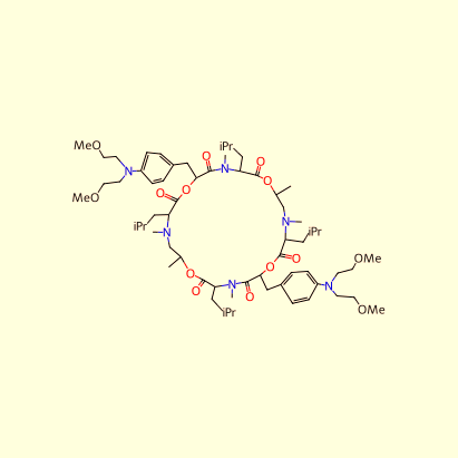 COCCN(CCOC)c1ccc(CC2OC(=O)C(CC(C)C)N(C)CC(C)OC(=O)C(CC(C)C)N(C)C(=O)C(Cc3ccc(N(CCOC)CCOC)cc3)OC(=O)C(CC(C)C)N(C)CC(C)OC(=O)C(CC(C)C)N(C)C2=O)cc1